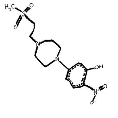 CS(=O)(=O)CCN1CCN(c2ccc([N+](=O)[O-])c(O)c2)CC1